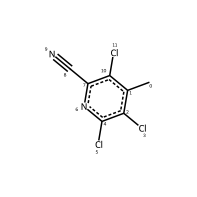 Cc1c(Cl)c(Cl)nc(C#N)c1Cl